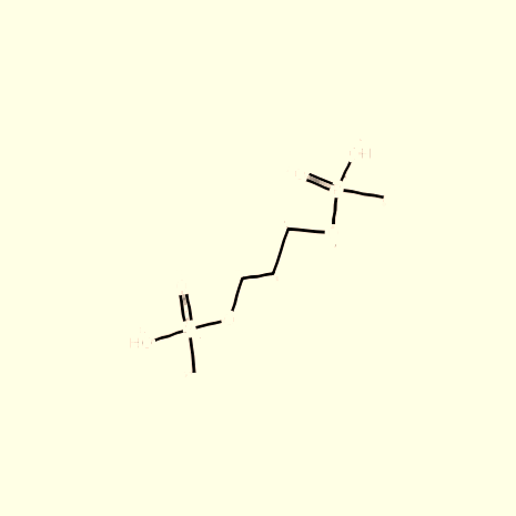 CP(=O)(O)OCCCOP(C)(=O)O